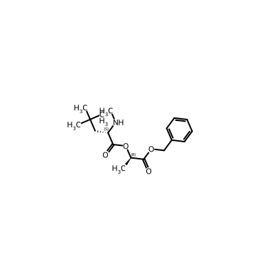 CN[C@@H](CC(C)(C)C)C(=O)O[C@H](C)C(=O)OCc1ccccc1